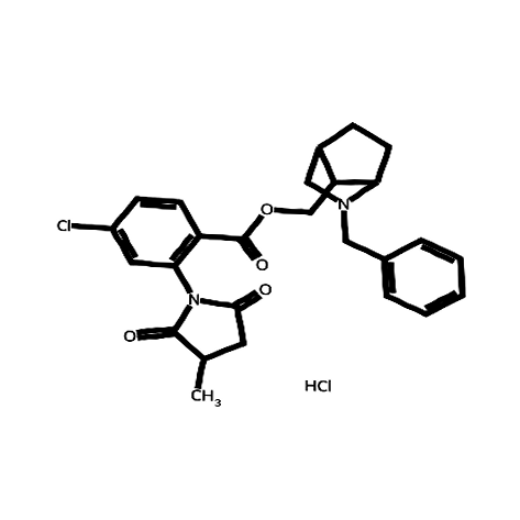 CC1CC(=O)N(c2cc(Cl)ccc2C(=O)OCC2C3CCC2N(Cc2ccccc2)C3)C1=O.Cl